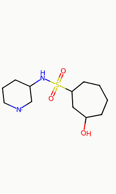 O=S(=O)(NC1CCC[N]C1)C1CCCCC(O)C1